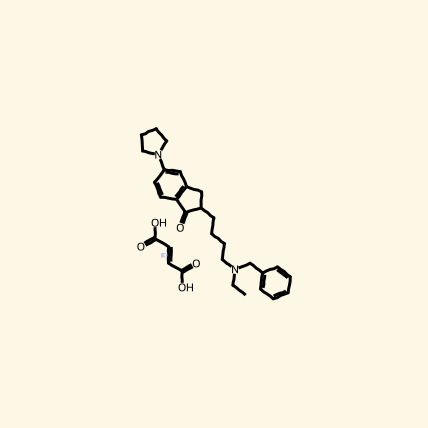 CCN(CCCCC1Cc2cc(N3CCCC3)ccc2C1=O)Cc1ccccc1.O=C(O)/C=C/C(=O)O